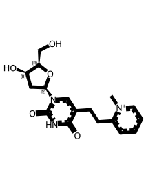 C[n+]1ccccc1CCc1cn([C@H]2C[C@@H](O)[C@@H](CO)O2)c(=O)[nH]c1=O